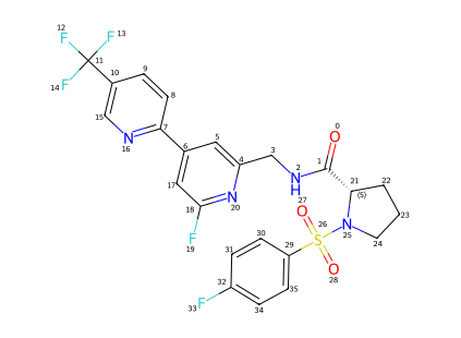 O=C(NCc1cc(-c2ccc(C(F)(F)F)cn2)cc(F)n1)[C@@H]1CCCN1S(=O)(=O)c1ccc(F)cc1